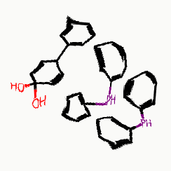 OC1(O)C=CC(c2ccccc2)C=C1.c1ccc(Pc2ccccc2)cc1.c1ccc(Pc2ccccc2)cc1